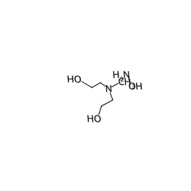 CN(CCO)CCO.NO